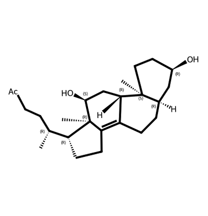 CC(=O)CC[C@@H](C)[C@H]1CCC2=C3CC[C@@H]4C[C@H](O)CC[C@]4(C)[C@H]3C[C@H](O)[C@@]21C